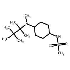 CN(C1CCC(NS(C)(=O)=O)CC1)C(C)(C)C(C)(C)C